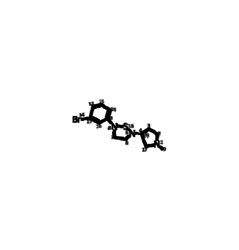 CN1CC[C@H](N2CCN(c3cccc(Br)c3)S2)C1